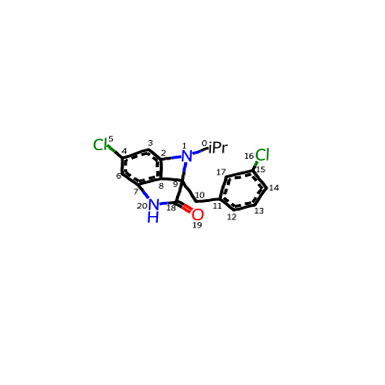 CC(C)N1c2cc(Cl)cc3c2C1(Cc1cccc(Cl)c1)C(=O)N3